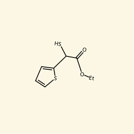 CCOC(=O)C(S)c1cccs1